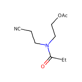 CCC(=O)N(CCC#N)CCOC(C)=O